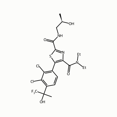 CCN(CC)C(=O)c1nc(C(=O)NC[C@@H](C)O)sc1-c1ccc(C(C)(O)C(F)(F)F)c(Cl)c1Cl